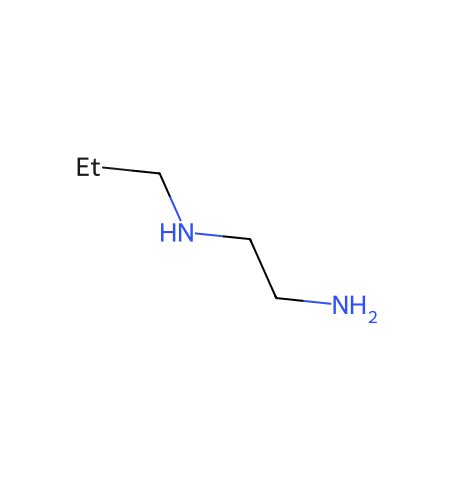 CCCNCCN